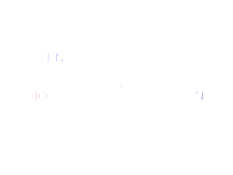 CC(C)(C#N)COc1ccc(O)c(N)c1